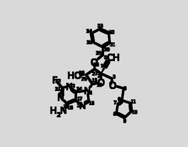 C#C[C@]1(COCc2ccccc2)O[C@@H](n2cnc3c(N)nc(F)nc32)[C@H](O)[C@@H]1OCc1ccccc1